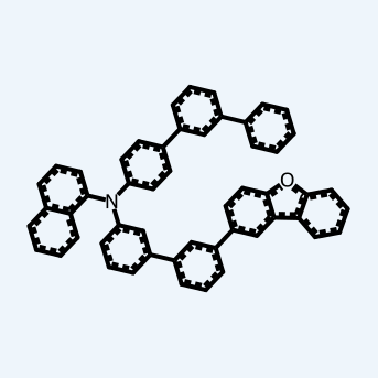 c1ccc(-c2cccc(-c3ccc(N(c4cccc(-c5cccc(-c6ccc7oc8ccccc8c7c6)c5)c4)c4cccc5ccccc45)cc3)c2)cc1